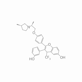 C[C@@H]1CCN([C@@H](C)COc2ccc(C3=C(c4cccc(O)c4)C(C(F)(F)F)c4cc(O)ccc4O3)cc2)C1